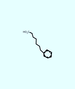 O=C(O)[CH]CCCCCc1ccccc1